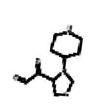 O=CC(=O)C1CNCN1C1CCNCC1